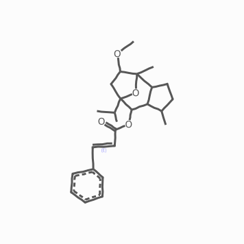 COC1CC2(C(C)C)OC1(C)C1CCC(C)C1C2OC(=O)/C=C/c1ccccc1